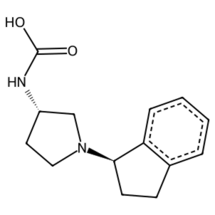 O=C(O)N[C@H]1CCN([C@@H]2CCc3ccccc32)C1